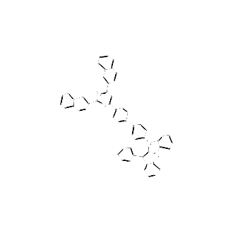 c1ccc(-c2c3ccccc3n3c4ccccc4n(-c4ccc(-c5ccc(-c6cc(-c7ccc8ccccc8c7)nc(-c7ccc8ccccc8c7)n6)cc5)cc4)c23)cc1